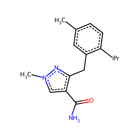 Cc1ccc(C(C)C)c(Cc2nn(C)cc2C(N)=O)c1